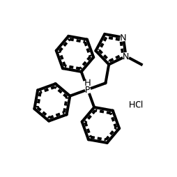 Cl.Cn1nccc1C[PH](c1ccccc1)(c1ccccc1)c1ccccc1